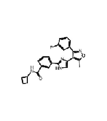 Cc1onc(-c2cccc(F)c2)c1-c1c[nH]c(-c2cccc(C(=O)NC3CCC3)c2)n1